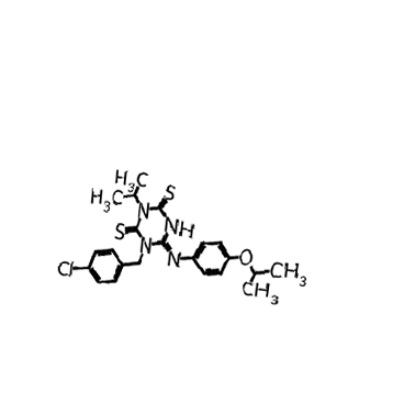 CC(C)Oc1ccc(/N=c2\[nH]c(=S)n(C(C)C)c(=S)n2Cc2ccc(Cl)cc2)cc1